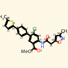 COC(=O)c1cc(-c2ccc(-c3ccc(C)s3)cc2)c(Cl)cc1NC(=O)Cc1cc(C)no1